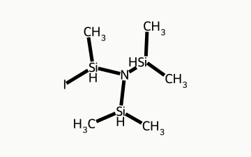 C[SiH](C)N([SiH](C)C)[SiH](C)I